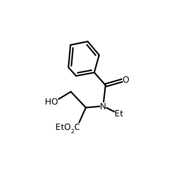 CCOC(=O)C(CO)N(CC)C(=O)c1ccccc1